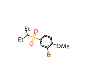 CCC(CC)S(=O)(=O)c1ccc(OC)c(Br)c1